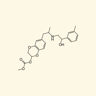 COC(=O)OC1COc2cc(CC(C)NCC(O)c3cccc(C)c3)ccc2O1